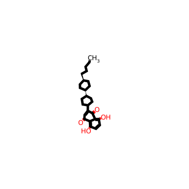 CCCCC[C@H]1CC[C@H](C2CCC(C3=CC(=O)c4c(O)ccc(O)c4C3=O)CC2)CC1